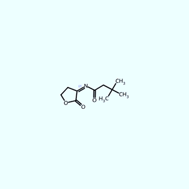 CC(C)(C)CC(=O)/N=C1/CCOC1=O